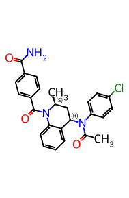 CC(=O)N(c1ccc(Cl)cc1)[C@@H]1C[C@H](C)N(C(=O)c2ccc(C(N)=O)cc2)c2ccccc21